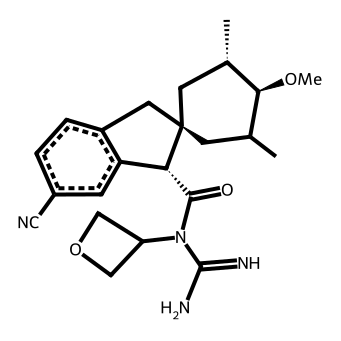 CO[C@H]1C(C)C[C@@]2(Cc3ccc(C#N)cc3[C@H]2C(=O)N(C(=N)N)C2COC2)C[C@@H]1C